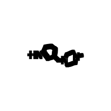 CN1CCN(Cc2cccc([NH])c2)CC1